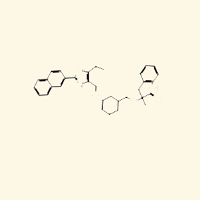 CCc1oc(-c2ccc3ccccc3c2)nc1CO[C@H]1CCCC(COC(C)(Cc2ccccc2)C(=O)O)C1